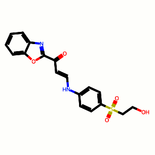 O=C(C=CNc1ccc(S(=O)(=O)CCO)cc1)c1nc2ccccc2o1